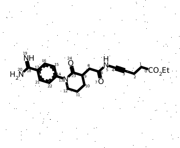 CCOC(=O)CCC#CNC(=O)CC1CCCN(c2ccc(C(=N)N)cc2)C1=O